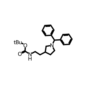 CC(C)(C)OC(=O)NCCC1CCN(C(c2ccccc2)c2ccccc2)C1